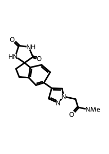 CNC(=O)Cn1cc(-c2ccc3c(c2)CCC32NC(=O)NC2=O)cn1